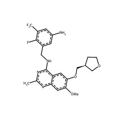 COc1cc2nc(C)nc(NCc3cc(N)cc(C(F)(F)F)c3F)c2cc1OC[C@H]1CCOC1